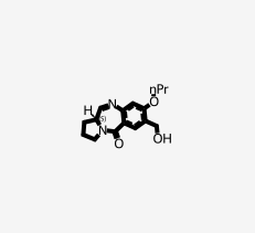 CCCOc1cc2c(cc1CO)C(=O)N1CCC[C@H]1C=N2